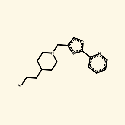 CC(=O)CCC1CCN(Cc2cnc(-c3ccccn3)s2)CC1